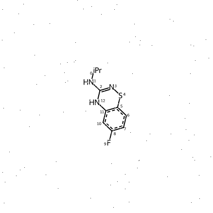 CC(C)NC1=NSc2ccc(F)cc2N1